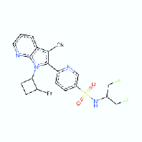 CCC1CCC1n1c(-c2ccc(S(=O)(=O)NC(CF)CF)cn2)c(C#N)c2cccnc21